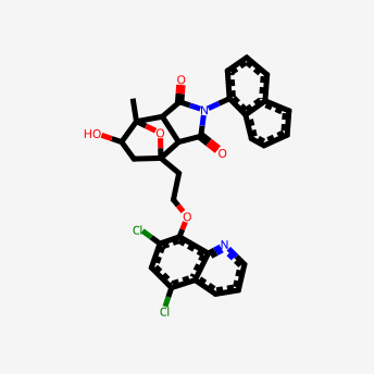 CC12OC(CCOc3c(Cl)cc(Cl)c4cccnc34)(CC1O)C1C(=O)N(c3cccc4ccccc34)C(=O)C12